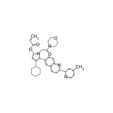 C=CC(=O)Oc1cc(C2CCCCC2)c(-c2ccc3nc(-c4cc(C)ccn4)ccc3c2)n1CC(=O)N1CCOCC1